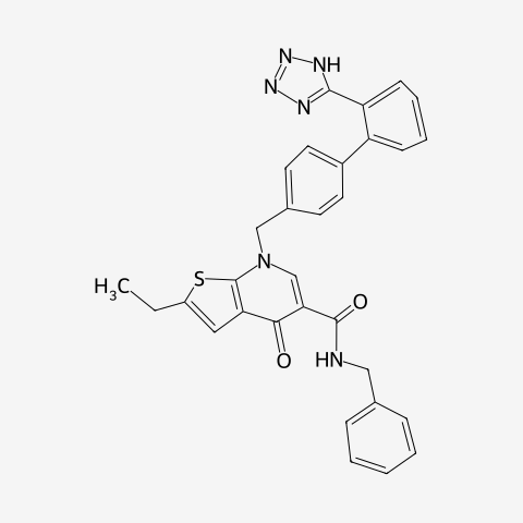 CCc1cc2c(=O)c(C(=O)NCc3ccccc3)cn(Cc3ccc(-c4ccccc4-c4nnn[nH]4)cc3)c2s1